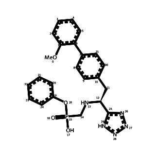 COc1ccccc1-c1ccc(C[C@H](NCP(=O)(O)Oc2ccccc2)c2nnn[nH]2)cc1